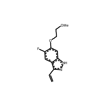 C=Cc1n[nH]c2cc(OCCOC)c(F)cc12